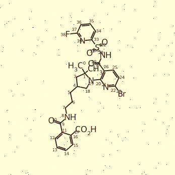 CC1(C)CC(CCCNC(=O)c2ccccc2C(=O)O)CN1c1nc(Br)ccc1C(=O)NS(=O)(=O)c1cccc(F)n1